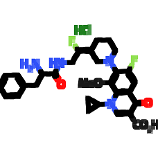 COc1c(N2CCC/C(=C(\F)CNC(=O)C(N)Cc3ccccc3)C2)c(F)cc2c(=O)c(C(=O)O)cn(C3CC3)c12.Cl